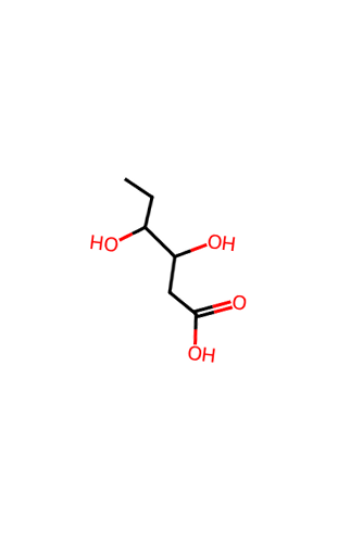 CCC(O)C(O)CC(=O)O